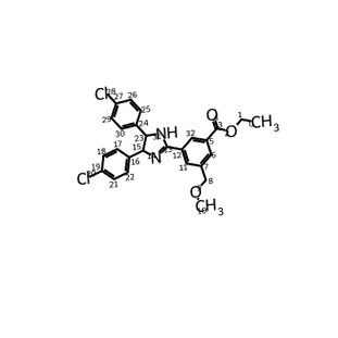 CCOC(=O)c1cc(COC)cc(C2=NC(c3ccc(Cl)cc3)C(c3ccc(Cl)cc3)N2)c1